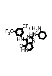 N[C@@H]1CCCC[C@H]1Nc1nc(Nc2cc(C(F)(F)F)cc(C(F)(F)F)c2)c2c(=O)[nH]ccc2n1